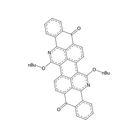 CCCCOc1nc2c3c(ccc4c5c(OCCCC)nc6c7c(ccc(c1c34)c75)C(=O)c1ccccc1-6)C(=O)c1ccccc1-2